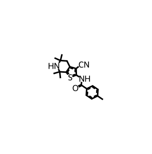 Cc1ccc(C(=O)Nc2sc3c(c2C#N)CC(C)(C)NC3(C)C)cc1